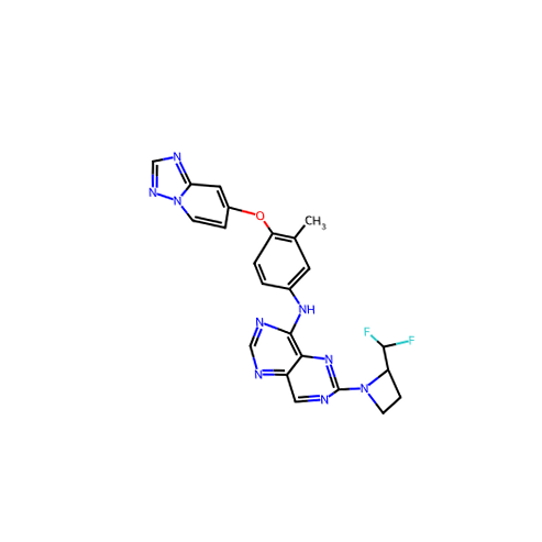 Cc1cc(Nc2ncnc3cnc(N4CCC4C(F)F)nc23)ccc1Oc1ccn2ncnc2c1